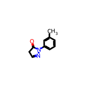 Cc1cccc(N2N=CCC2=O)c1